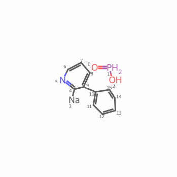 O=[PH2]O.[Na][c]1ncccc1-c1ccccc1